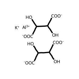 O=C([O-])C(O)C(O)C(=O)[O-].O=C([O-])C(O)C(O)C(=O)[O-].[Al+3].[K+]